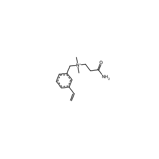 C=Cc1cccc(C[N+](C)(C)CCC(N)=O)c1